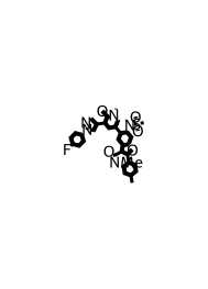 CNC(=O)c1c(-c2ccc(C)cc2)oc2cc(N(C)S(C)(=O)=O)c(-c3cc(-c4cnn(-c5ccc(F)cc5)c4)c(=O)n(C)c3)cc12